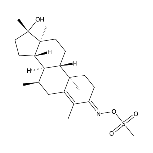 CC1=C2C[C@@H](C)[C@@H]3[C@H](CC[C@@]4(C)[C@H]3CC[C@]4(C)O)[C@@]2(C)CC/C1=N\OS(C)(=O)=O